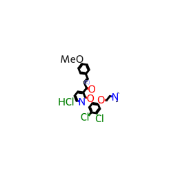 COc1ccc(/C=C/C(=O)c2cccnc2Oc2cc(Cl)c(Cl)cc2OCCN(C)C)cc1.Cl